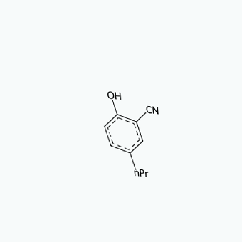 CCCc1ccc(O)c(C#N)c1